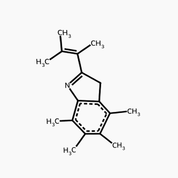 CC(C)=C(C)C1=Nc2c(C)c(C)c(C)c(C)c2C1